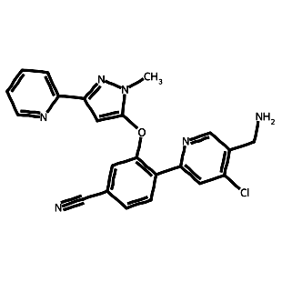 Cn1nc(-c2ccccn2)cc1Oc1cc(C#N)ccc1-c1cc(Cl)c(CN)cn1